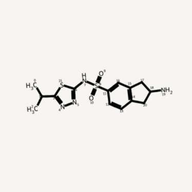 CC(C)c1nnc(NS(=O)(=O)c2ccc3c(c2)CC(N)C3)s1